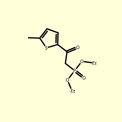 CCOP(=O)(CC(=O)c1ccc(C)s1)OCC